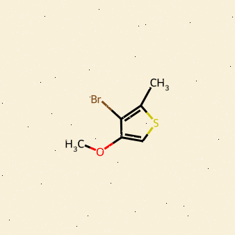 COc1csc(C)c1Br